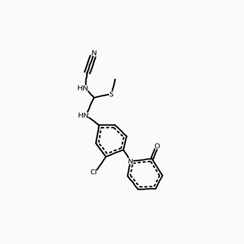 CSC(NC#N)Nc1ccc(-n2ccccc2=O)c(Cl)c1